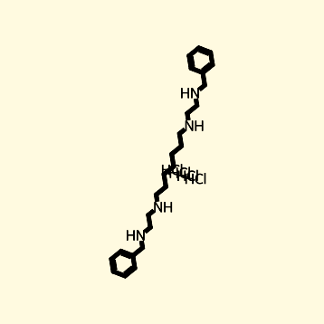 Cl.Cl.Cl.Cl.c1ccc(CNCCNCCCCCCCNCCNCc2ccccc2)cc1